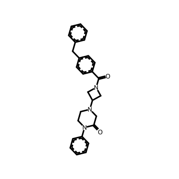 O=C(c1ccc(Cc2ccccc2)cc1)N1CC(N2CCN(c3ccccc3)C(=O)C2)C1